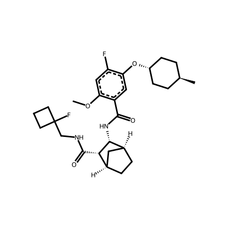 COc1cc(F)c(O[C@H]2CC[C@H](C)CC2)cc1C(=O)N[C@@H]1[C@H]2CC[C@H](C2)[C@@H]1C(=O)NCC1(F)CCC1